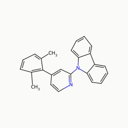 Cc1cccc(C)c1-c1ccnc(-n2c3ccccc3c3ccccc32)c1